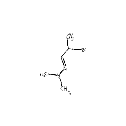 CC(Br)C=NN(C)C